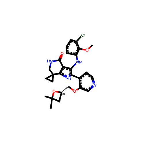 COc1c(Cl)cccc1Nc1c(-c2ccncc2OC[C@@H]2CC(C)(C)O2)[nH]c2c1C(=O)NCC21CC1